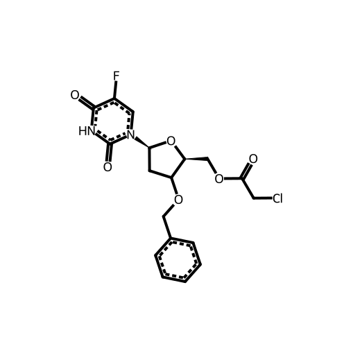 O=C(CCl)OC[C@@H]1O[C@H](n2cc(F)c(=O)[nH]c2=O)CC1OCc1ccccc1